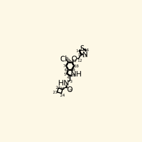 O=C(NCc1cc2cc(Cl)c(OCc3cscn3)cc2[nH]1)C1CCC1